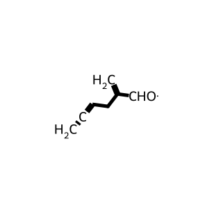 C=C=CCC(=C)[C]=O